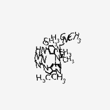 COc1cc(N(C)CCN(C)C)c(NC(C)=O)cc1Nc1ncnc(N2CC(C)(C)c3ncccc32)n1